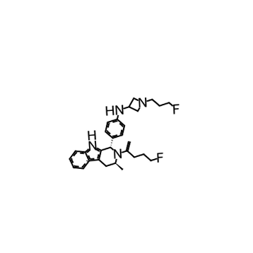 C=C(CCCF)N1[C@@H](c2ccc(NC3CN(CCCF)C3)cc2)c2[nH]c3ccccc3c2C[C@@H]1C